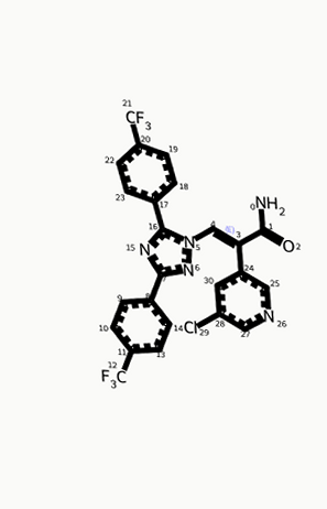 NC(=O)/C(=C/n1nc(-c2ccc(C(F)(F)F)cc2)nc1-c1ccc(C(F)(F)F)cc1)c1cncc(Cl)c1